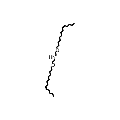 CCCC/C=C\CCCCCCCCOCCNCCOCCCCCCCC/C=C\CCCC